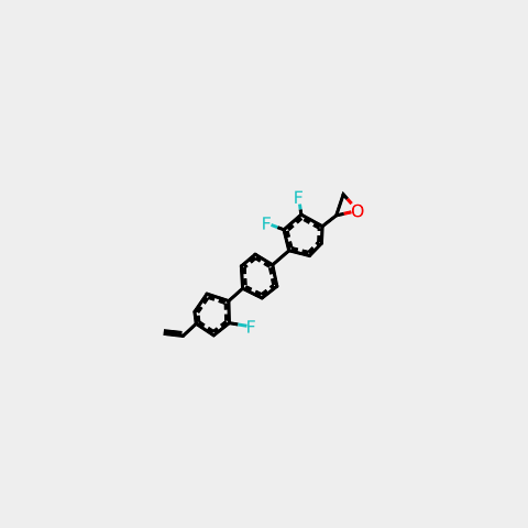 C=Cc1ccc(-c2ccc(-c3ccc(C4CO4)c(F)c3F)cc2)c(F)c1